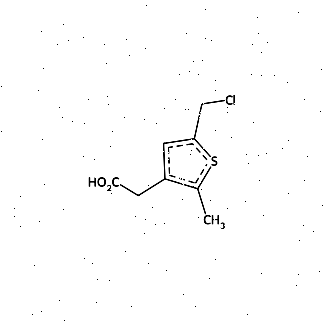 Cc1sc(CCl)cc1CC(=O)O